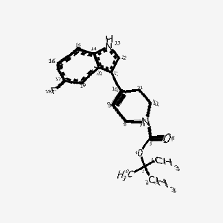 CC(C)(C)OC(=O)N1CC=C(c2c[nH]c3ccc(F)cc23)CC1